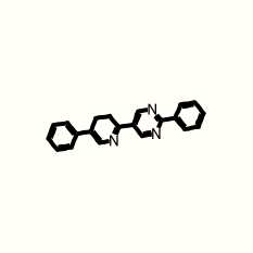 C1=C(c2ccccc2)CCC(c2cnc(-c3ccccc3)nc2)=N1